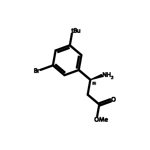 COC(=O)C[C@H](N)c1cc(Br)cc(C(C)(C)C)c1